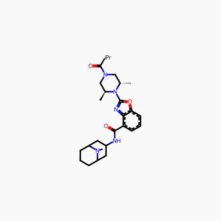 CC(C)C(=O)N1C[C@H](C)N(c2nc3c(C(=O)NC4CC5CCCC(C4)N5C)cccc3o2)[C@@H](C)C1